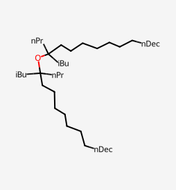 CCCCCCCCCCCCCCCCCC(CCC)(OC(CCC)(CCCCCCCCCCCCCCCCC)C(C)CC)C(C)CC